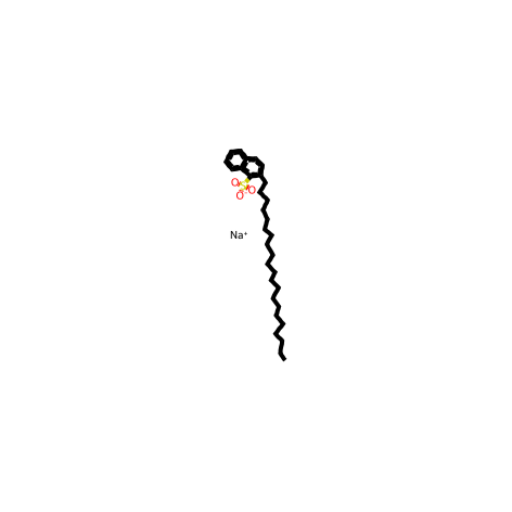 CCCCCCCCCCCCCCCCCCCCCc1ccc2ccccc2c1S(=O)(=O)[O-].[Na+]